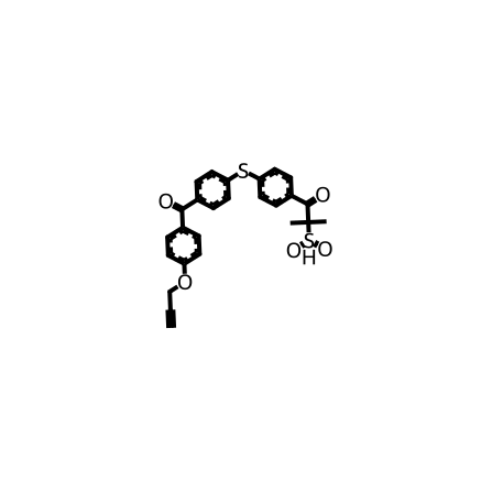 C#CCOc1ccc(C(=O)c2ccc(Sc3ccc(C(=O)C(C)(C)[SH](=O)=O)cc3)cc2)cc1